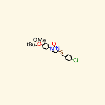 COc1cc(-n2ccc(SCc3ccc(Cl)cc3)nc2=O)ccc1OCC(C)(C)C